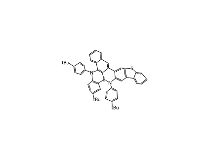 CC(C)(C)c1ccc(N2B3c4cc(C(C)(C)C)ccc4N(c4ccc(C(C)(C)C)cc4)c4c3c(cc3ccccc43)-c3cc4sc5ccccc5c4cc32)cc1